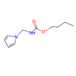 CCCCOC(=O)NCn1cccc1